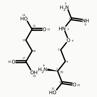 N=C(N)NOCC[C@H](N)C(=O)O.O=C(O)CCC(=O)O